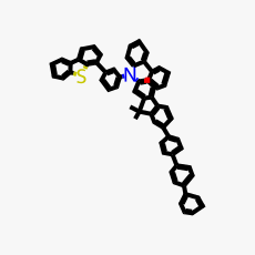 CC1(C)c2cc(-c3ccc(-c4ccc(-c5ccccc5)cc4)cc3)ccc2-c2ccc(N(c3cccc(-c4cccc5c4sc4ccccc45)c3)c3ccccc3-c3ccccc3)cc21